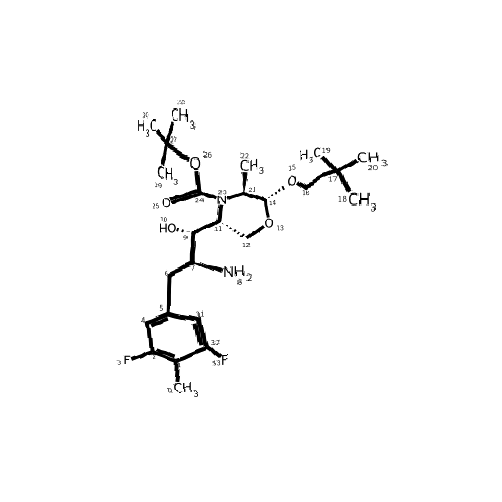 Cc1c(F)cc(C[C@H](N)[C@H](O)[C@H]2CO[C@@H](OCC(C)(C)C)[C@H](C)N2C(=O)OC(C)(C)C)cc1F